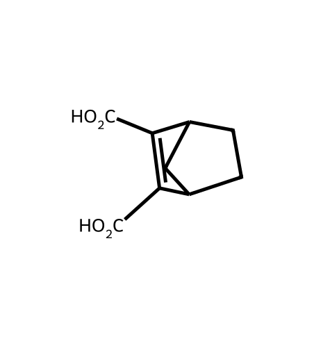 O=C(O)C1=C(C(=O)O)C2CCC1C2